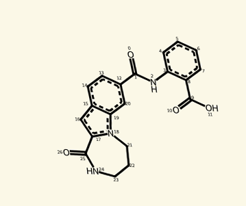 O=C(Nc1ccccc1C(=O)O)c1ccc2cc3n(c2c1)CCCNC3=O